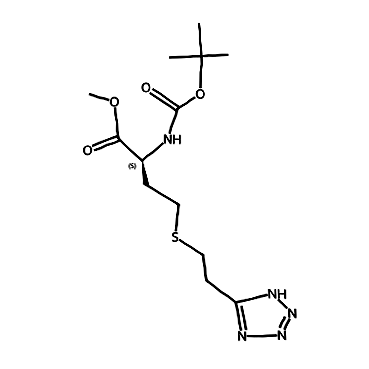 COC(=O)[C@H](CCSCCc1nnn[nH]1)NC(=O)OC(C)(C)C